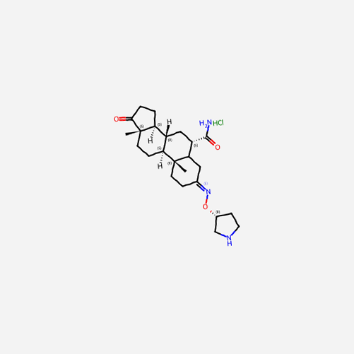 C[C@]12CC/C(=N\O[C@@H]3CCNC3)CC1[C@@H](C(N)=O)C[C@@H]1[C@@H]2CC[C@]2(C)C(=O)CC[C@@H]12.Cl